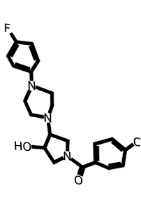 O=C(c1ccc(Cl)cc1)N1CC(O)C(N2CCN(c3ccc(F)cc3)CC2)C1